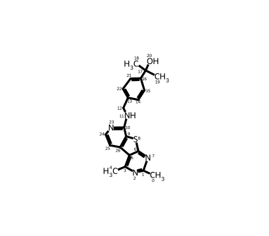 Cc1nc(C)c2c(n1)sc1c(NCc3ccc(C(C)(C)O)cc3)nccc12